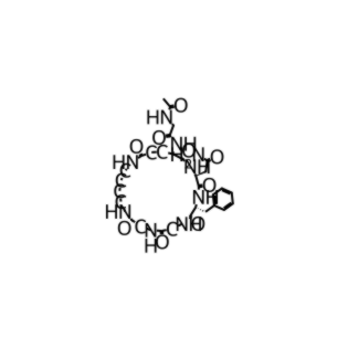 CC(=O)NCC(=O)N[C@H]1CCC(=O)NCCCCNC(=O)CNC(=O)CNC(=O)[C@@H](Cc2ccccc2)NC(=O)[C@H](CC(N)=O)NC1=O